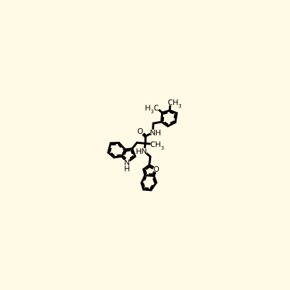 Cc1cccc(CNC(=O)C(C)(Cc2c[nH]c3ccccc23)NCc2cc3ccccc3o2)c1C